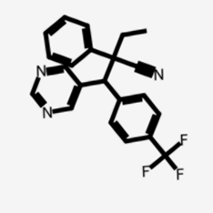 CCC(C#N)(c1ccccc1)C(c1ccc(C(F)(F)F)cc1)c1cncnc1